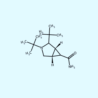 CC(C)(C)C1[C@@H]2C(C(N)=O)[C@@H]2CN1C(C)(C)C